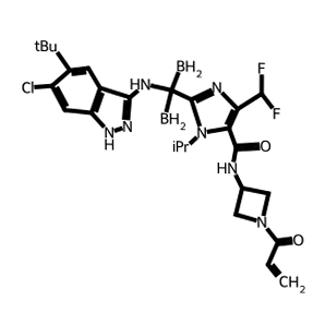 BC(B)(Nc1n[nH]c2cc(Cl)c(C(C)(C)C)cc12)c1nc(C(F)F)c(C(=O)NC2CN(C(=O)C=C)C2)n1C(C)C